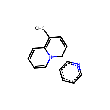 O=CC1=C2C=CC=CN2CC=C1.c1ccncc1